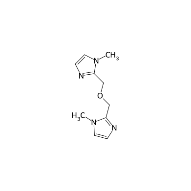 Cn1ccnc1COCc1nccn1C